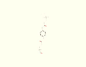 COC(C)(C)CCC(=O)Cc1ccc(CC(=O)CCC(C)(C)C=O)cc1